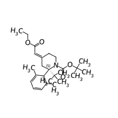 CCOC(=O)C=C1CCN(C(=O)OC(C)(C)C)[C@](c2c(C)cccc2C)(C(C)(C)C)C1